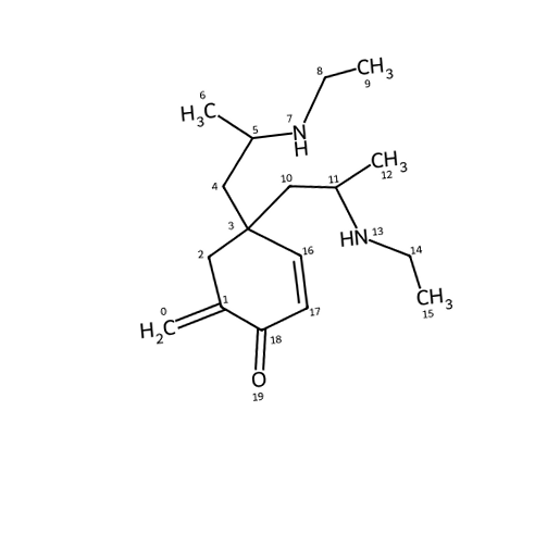 C=C1CC(CC(C)NCC)(CC(C)NCC)C=CC1=O